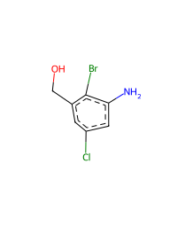 Nc1cc(Cl)cc(CO)c1Br